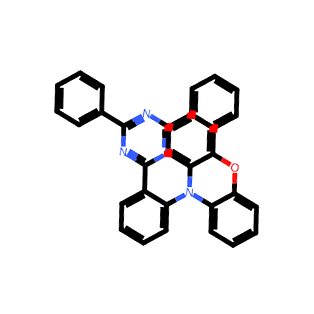 c1ccc(-c2nc(-c3ccccc3)nc(-c3ccccc3N3c4ccccc4Oc4ccccc43)n2)cc1